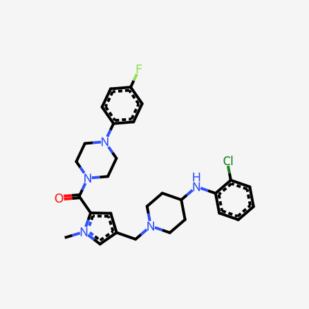 Cn1cc(CN2CCC(Nc3ccccc3Cl)CC2)cc1C(=O)N1CCN(c2ccc(F)cc2)CC1